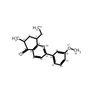 CCC1CC(C)C(=O)c2ccc(-c3cccc(OC)c3)nc21